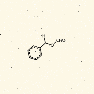 [2H]C(O[C]=O)c1ccccc1